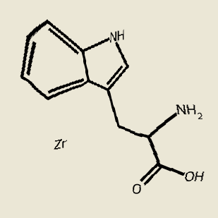 NC(Cc1c[nH]c2ccccc12)C(=O)O.[Zr]